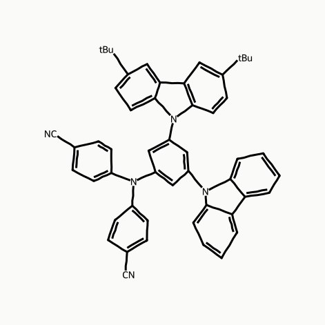 CC(C)(C)c1ccc2c(c1)c1cc(C(C)(C)C)ccc1n2-c1cc(N(c2ccc(C#N)cc2)c2ccc(C#N)cc2)cc(-n2c3ccccc3c3ccccc32)c1